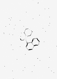 O=CN(c1cccc2ccccc12)N1CCOCC1